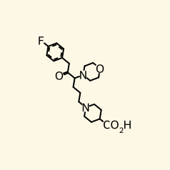 O=C(O)C1CCN(CCCC(C(=O)Cc2ccc(F)cc2)N2CCOCC2)CC1